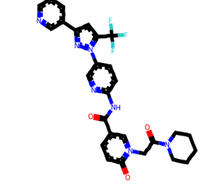 O=C(Nc1ccc(-n2nc(-c3cccnc3)cc2C(F)(F)F)cn1)c1ccc(=O)n(CC(=O)N2CCCCC2)c1